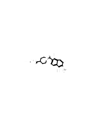 COC(=O)C1CCN(C(C)c2ccc3cc(OC)ccc3c2)CC1